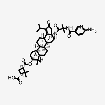 CC(C)C1=C2[C@H]3CC[C@@H]4[C@@]5(C)CC[C@H](OC(=O)[C@H]6C[C@@H](C(=O)O)C6(C)C)C(C)(C)[C@@H]5CC[C@@]4(C)[C@]3(C)CC[C@@]2(NC(=O)C(C)(C)NC(=O)c2ccc(N)nc2)CC1=O